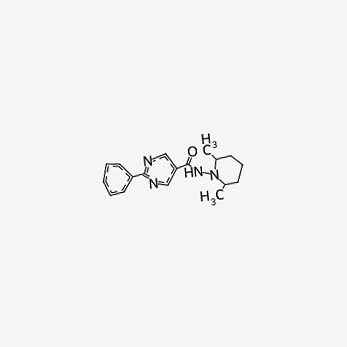 CC1CCCC(C)N1NC(=O)c1cnc(-c2ccccc2)nc1